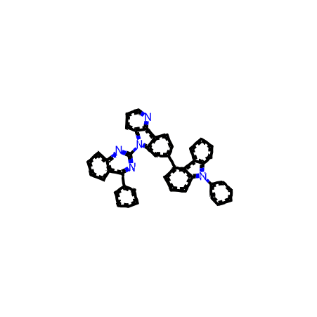 c1ccc(-c2nc(-n3c4cc(-c5cccc6c5c5ccccc5n6-c5ccccc5)ccc4c4ncccc43)nc3ccccc23)cc1